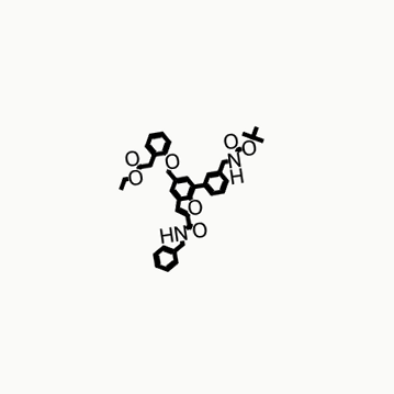 CCOC(=O)Cc1ccccc1OCc1cc(-c2cccc(CNC(=O)OC(C)(C)C)c2)c2oc(C(=O)NCc3ccccc3)cc2c1